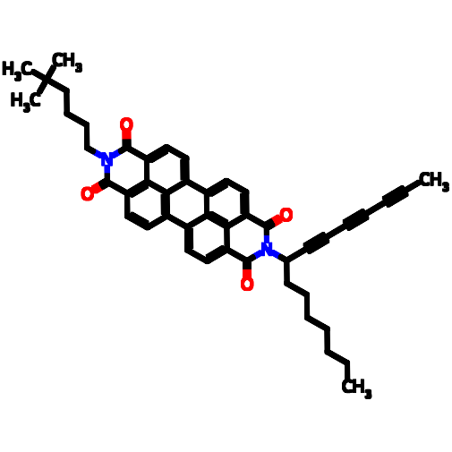 CC#CC#CC#CC(CCCCCCC)N1C(=O)c2ccc3c4ccc5c6c(ccc(c7ccc(c2c37)C1=O)c64)C(=O)N(CCCCC(C)(C)C)C5=O